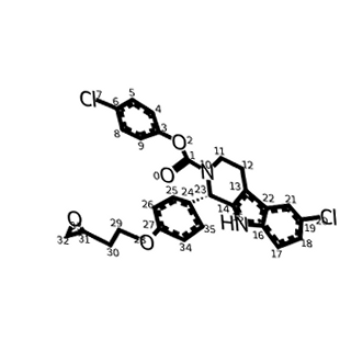 O=C(Oc1ccc(Cl)cc1)N1CCc2c([nH]c3ccc(Cl)cc23)[C@@H]1c1ccc(OCCC2CO2)cc1